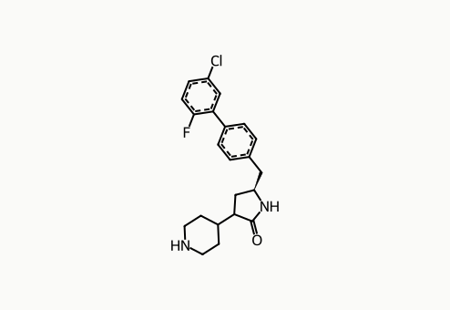 O=C1N[C@H](Cc2ccc(-c3cc(Cl)ccc3F)cc2)CC1C1CCNCC1